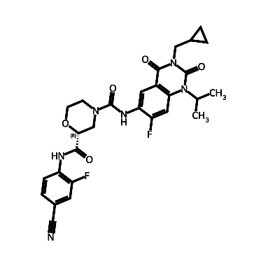 CC(C)n1c(=O)n(CC2CC2)c(=O)c2cc(NC(=O)N3CCO[C@@H](C(=O)Nc4ccc(C#N)cc4F)C3)c(F)cc21